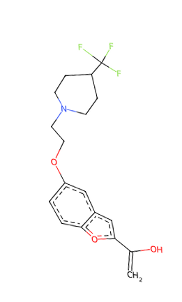 C=C(O)c1cc2cc(OCCN3CCC(C(F)(F)F)CC3)ccc2o1